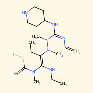 C=C/N=C(/NC1CCNCC1)N(C)N(C)/C(CC)=C(\NCC)N(C)C(=N)SF